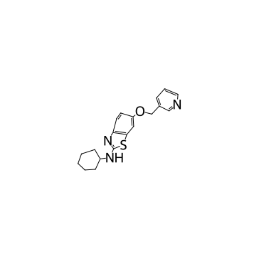 c1cncc(COc2ccc3nc(NC4CCCCC4)sc3c2)c1